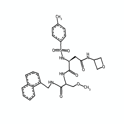 COCC(NC(=O)[C@H](CC(=O)NC1COC1)NS(=O)(=O)c1ccc(C)cc1)C(=O)NCc1cccc2ccccc12